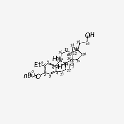 CCCCOc1cc2c(cc1CC)[C@H]1CC[C@]3(C)[C@@H](CCO)CC[C@H]3[C@@H]1CC2